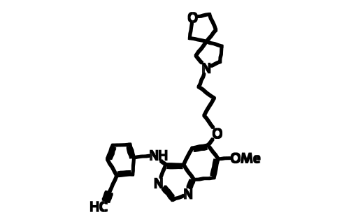 C#Cc1cccc(Nc2ncnc3cc(OC)c(OCCCN4CCC5(CCOC5)C4)cc23)c1